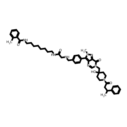 Cc1ccccc1C(=O)NCCCCCCCCNC(=O)CNCc1ccc(-c2c3ncn(CC4(O)CCN(C(=O)CC(C)c5ccccc5)CC4)c(=O)c3nn2C)cc1